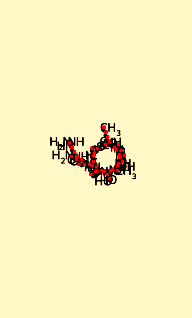 CCCCCC(=O)N[C@H]1CSCc2cccc(c2)CSC[C@@H](C(=O)NCc2ccc(C(=O)N[C@@H](CCCNC(=N)N)C(N)=O)cc2)NC(=O)[C@H](Cc2ccccc2)NC(=O)[C@H](CCC(=O)O)NC(=O)[C@H]([C@@H](C)O)NC(=O)[C@@H]2CCCN2C(=O)[C@@H]2CCCN2C1=O